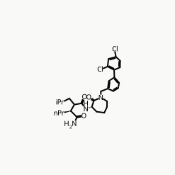 CCC[C@H](C(N)=O)C(CC(C)C)C(=O)N[C@H]1CCCCN(Cc2cccc(-c3ccc(Cl)cc3Cl)c2)C1=O